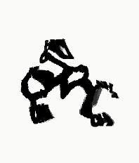 COc1ccnc(-c2cc([C@H](N)CO)ccc2Cl)n1.Cl